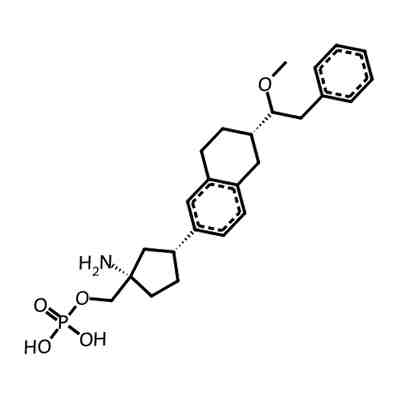 COC(Cc1ccccc1)[C@H]1CCc2cc([C@@H]3CC[C@@](N)(COP(=O)(O)O)C3)ccc2C1